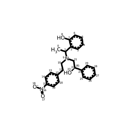 CC(c1ccccc1O)N(CCc1ccc([N+](=O)[O-])cc1)C[C@H](O)c1ccccc1